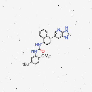 COc1ccc(C(C)(C)C)cc1NC(=O)Nc1ccc(-c2cnc3[nH]cnc3c2)c2ccccc12